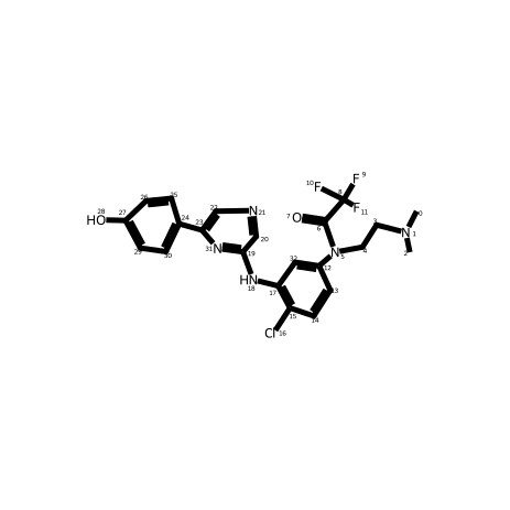 CN(C)CCN(C(=O)C(F)(F)F)c1ccc(Cl)c(Nc2cncc(-c3ccc(O)cc3)n2)c1